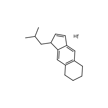 CC(C)CC1C=Cc2cc3c(cc21)CCCC3.[Hf]